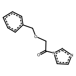 O=C(COCc1ccccc1)n1[c]ncc1